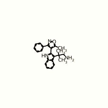 Cc1onc(-c2ccccc2)c1-c1[nH]c2ccccc2c1C(C)(C)CN